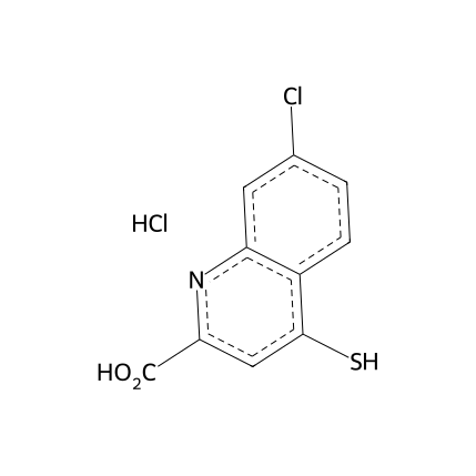 Cl.O=C(O)c1cc(S)c2ccc(Cl)cc2n1